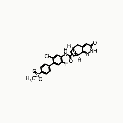 CS(=O)(=O)c1ccc(-c2cc(F)c(NC(=O)N3[C@H]4CC[C@@H]3c3n[nH]c(=O)cc3C4)cc2Cl)cc1